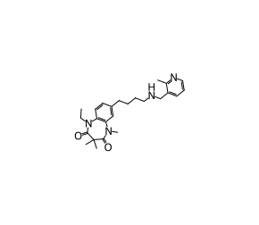 CCN1C(=O)C(C)(C)C(=O)N(C)c2cc(CCCCNCc3cccnc3C)ccc21